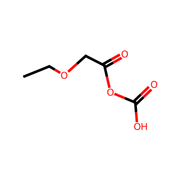 CCOCC(=O)OC(=O)O